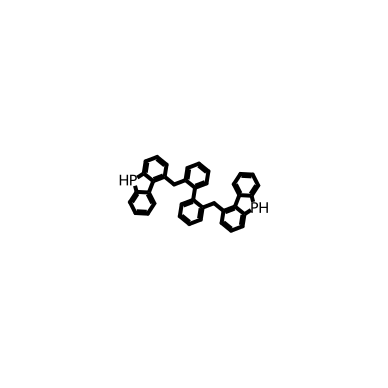 c1ccc(-c2ccccc2Cc2cccc3[pH]c4ccccc4c23)c(Cc2cccc3[pH]c4ccccc4c23)c1